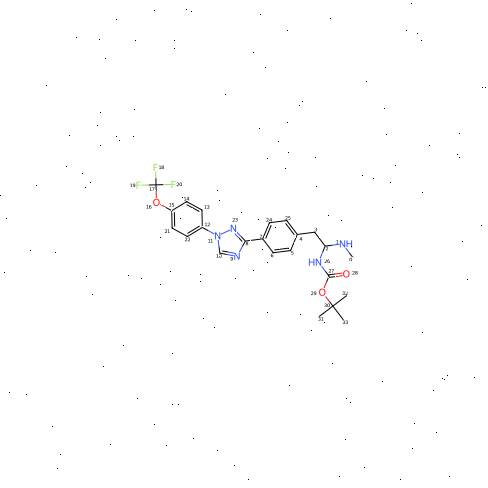 CNC(Cc1ccc(-c2ncn(-c3ccc(OC(F)(F)F)cc3)n2)cc1)NC(=O)OC(C)(C)C